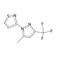 Cc1cc(C(F)(F)F)nn1-c1[c]csn1